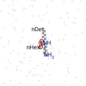 CCCCCCCCCCCCCCCC(=O)N[C@@H](CCCCN)C(=O)OCCCCCC